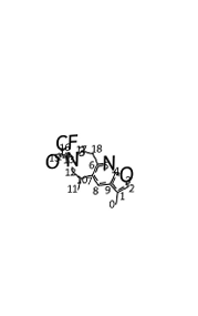 Cc1coc2nc3c(cc12)C(C)CN(C(=O)C(F)(F)F)CC3